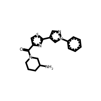 NC1CCCN(C(=O)c2csc(-c3cnn(-c4ccccc4)c3)n2)C1